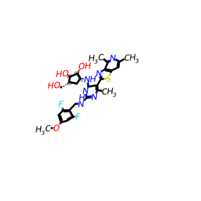 COc1cc(F)c(CNc2nc(C)c(-c3nc4c(C)nc(C)cc4s3)c(N[C@@H]3C[C@H](CO)[C@@H](O)[C@H]3O)n2)c(F)c1